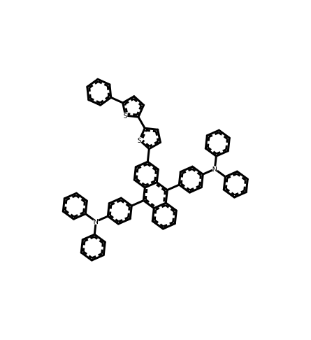 c1ccc(-c2ccc(-c3ccc(-c4ccc5c(-c6ccc(N(c7ccccc7)c7ccccc7)cc6)c6ccccc6c(-c6ccc(N(c7ccccc7)c7ccccc7)cc6)c5c4)s3)s2)cc1